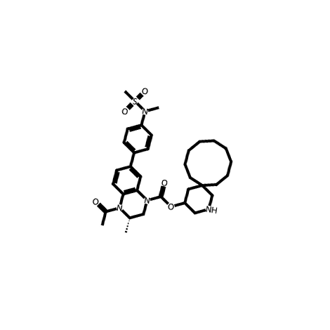 CC(=O)N1c2ccc(-c3ccc(N(C)S(C)(=O)=O)cc3)cc2N(C(=O)OC2CNCC3(CCCCCCCCC3)C2)C[C@@H]1C